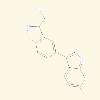 NCC1NSc2ccc(C3=CN=C4CC(F)=CC=C34)cc21